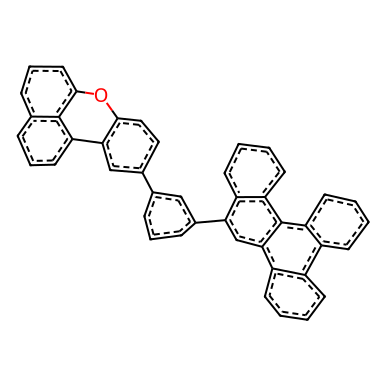 c1cc(-c2ccc3c(c2)-c2cccc4cccc(c24)O3)cc(-c2cc3c4ccccc4c4ccccc4c3c3ccccc23)c1